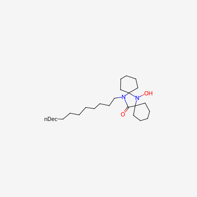 CCCCCCCCCCCCCCCCCCN1C(=O)C2(CCCCC2)N(O)C12CCCCC2